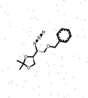 CC1(C)OC[C@H]([C@@H](COCc2ccccc2)N=[N+]=[N-])O1